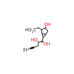 CCC#CCC(O)[C@H](O)C1C2CC(O)C(CC(=O)O)C21